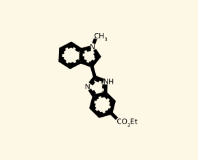 CCOC(=O)c1ccc2nc(-c3cn(C)c4ccccc34)[nH]c2c1